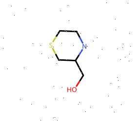 OCC1CSCC[N]1